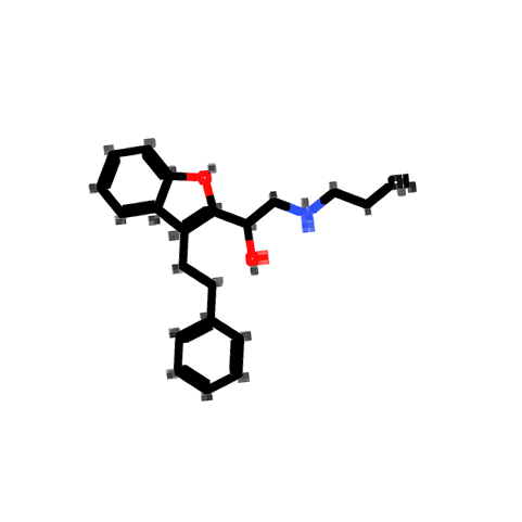 CCCNCC(O)c1oc2ccccc2c1CCc1ccccc1